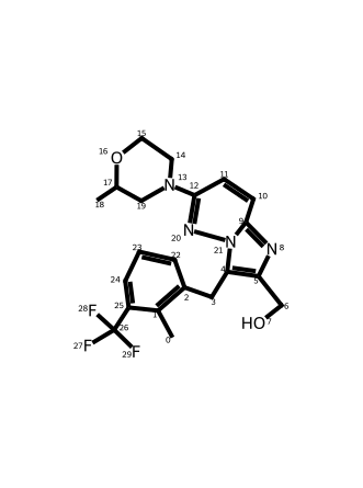 Cc1c(Cc2c(CO)nc3ccc(N4CCOC(C)C4)nn23)cccc1C(F)(F)F